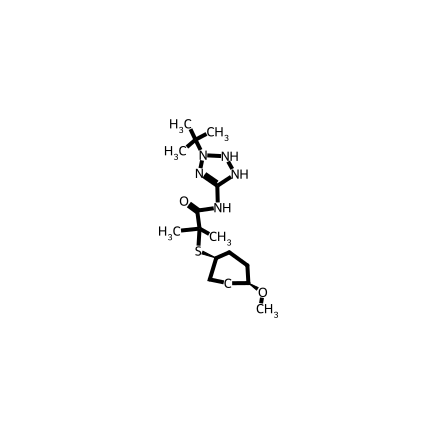 CO[C@H]1CC[C@@H](SC(C)(C)C(=O)NC2=NN(C(C)(C)C)NN2)CC1